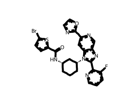 O=C(N[C@H]1CCC[C@@H](n2c(-c3ncccc3F)nc3cnc(-c4ncco4)cc32)C1)c1ccc(Br)s1